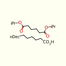 CC(C)OC(=O)CCCCC(=O)OC(C)C.CCCCCCCCCCCCCCCC(=O)O